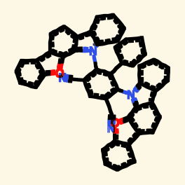 N#Cc1cc(C#N)c(-n2c3ccccc3c3ccc4c5ccccc5oc4c32)c(-c2ccccc2)c1-n1c2ccccc2c2ccc3c4ccccc4oc3c21